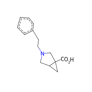 O=C(O)C12CC1CN(CCc1ccccc1)C2